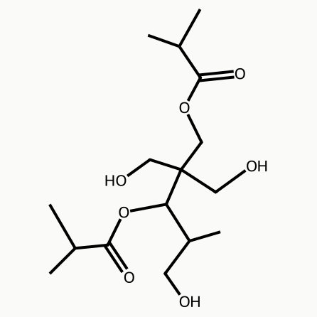 CC(C)C(=O)OCC(CO)(CO)C(OC(=O)C(C)C)C(C)CO